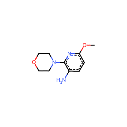 COc1ccc(N)c(N2CCOCC2)n1